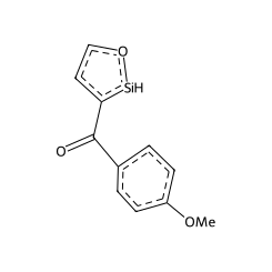 COc1ccc(C(=O)c2cco[siH]2)cc1